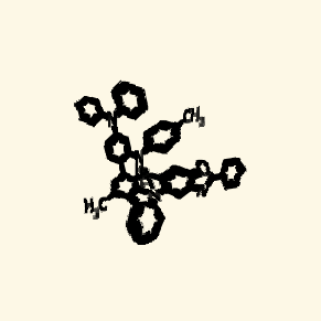 Cc1ccc(Nc2cc(N(c3ccccc3)c3ccccc3)ccc2-c2cc(C)c3c4ccccc4n4c3c2Bc2cc3oc(-c5ccccc5)nc3cc2-4)cc1